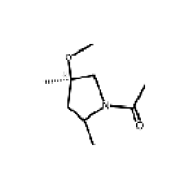 CO[C@]1(C)CC(C)N(C(C)=O)C1